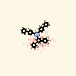 Bc1c(B)c(B)c(-c2c(B)c(-c3nc(-c4ccc(-c5ccccc5)cc4)nc(-c4ccc(-c5ccccc5)cc4)n3)c3oc4c(B)c(B)c(B)c(B)c4c3c2B)c(B)c1B